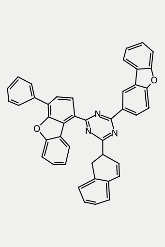 C1=CC(c2nc(-c3ccc4oc5ccccc5c4c3)nc(-c3ccc(-c4ccccc4)c4oc5ccccc5c34)n2)Cc2ccccc21